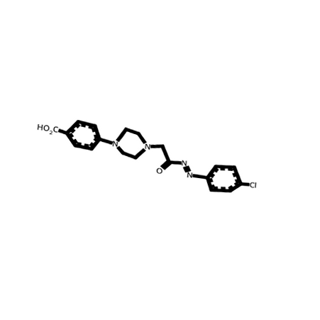 O=C(CN1CCN(c2ccc(C(=O)O)cc2)CC1)/N=N/c1ccc(Cl)cc1